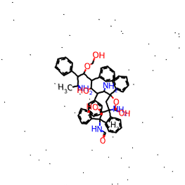 CC(N)C(c1ccccc1)C(OCO)C(c1ccccc1)C(O)C(c1ccccc1)C(N)C(CC(N)(c1ccccc1)C(O)C(C)(NC=O)c1ccccc1)(OCO)c1ccccc1